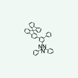 c1ccc(-c2cc(-c3ccc4c(c3)C3(c5ccccc5-c5ccccc53)c3ccccc3-4)cc(-c3nc(-c4ccccc4)nc(-c4ccccc4)n3)c2)cc1